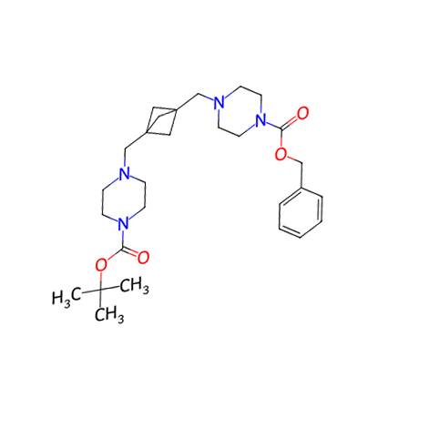 CC(C)(C)OC(=O)N1CCN(CC23CC(CN4CCN(C(=O)OCc5ccccc5)CC4)(C2)C3)CC1